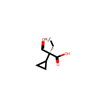 CC[C@](C=O)(C(=O)O)C1CC1